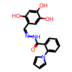 O=C(N/N=C\c1cc(O)c(O)cc1O)c1ccccc1-n1cccc1